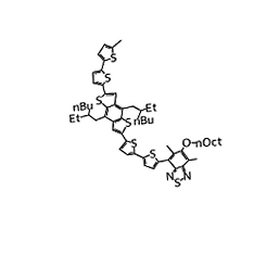 CCCCCCCCOc1c(C)c(-c2ccc(-c3ccc(-c4cc5c(CC(CC)CCCC)c6sc(-c7ccc(-c8ccc(C)s8)s7)cc6c(CC(CC)CCCC)c5s4)s3)s2)c2nsnc2c1C